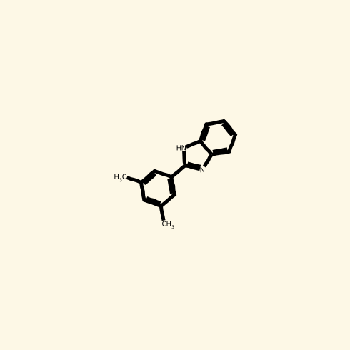 Cc1cc(C)cc(-c2nc3ccccc3[nH]2)c1